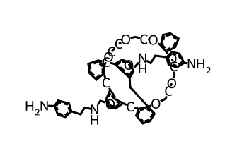 Nc1ccc(CCNCOc2c3cccc2Cc2cccc4c2OCCOCCOc2ccccc2OCCOCCOc2c(cccc2Cc2cccc(c2OCNCCc2ccc(N)cc2)C4)C3)cc1